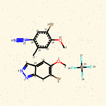 COC1=C(Br)CC2=NN=CC2=C1.COc1cc(C)c([N+]#N)cc1Br.F[B-](F)(F)F